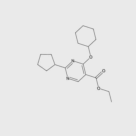 CCOC(=O)c1cnc(C2CCCC2)nc1OC1CCCCC1